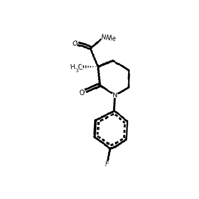 CNC(=O)[C@@]1(C)CCCN(c2ccc(F)cc2)C1=O